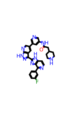 O=C(CC1CCNCC1)Nc1cncc(-c2cnc3[nH]nc(-c4nc5c(-c6cccc(F)c6)nccc5[nH]4)c3c2)c1